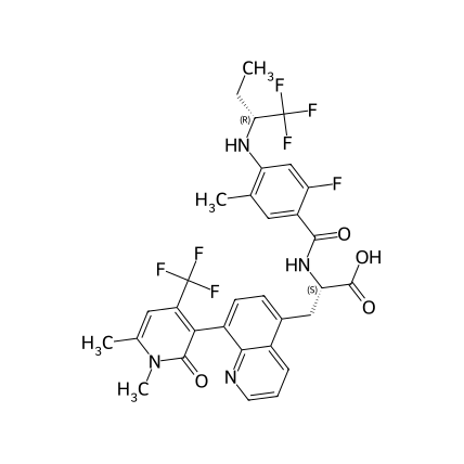 CC[C@@H](Nc1cc(F)c(C(=O)N[C@@H](Cc2ccc(-c3c(C(F)(F)F)cc(C)n(C)c3=O)c3ncccc23)C(=O)O)cc1C)C(F)(F)F